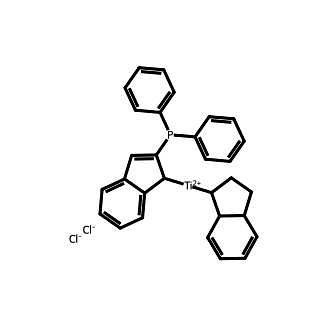 C1=CC2CC[CH]([Ti+2][CH]3C(P(c4ccccc4)c4ccccc4)=Cc4ccccc43)C2C=C1.[Cl-].[Cl-]